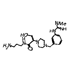 CNC(=N)Nc1cccc(CN2CCN(C(CO)C(=O)NCCCN)CC2)c1